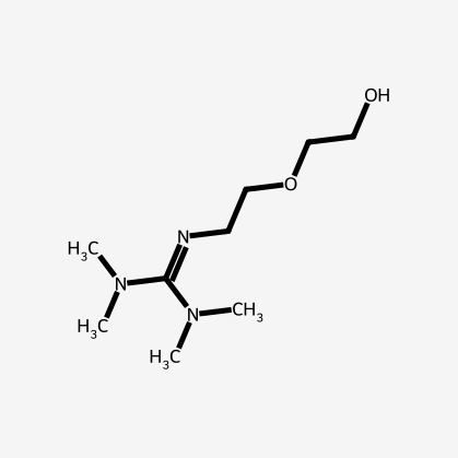 CN(C)C(=NCCOCCO)N(C)C